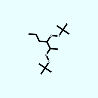 CCCC(OOC(C)(C)C)C(C)OOC(C)(C)C